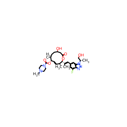 C/C(=C\c1cc(F)c2nnn([C@@H](C)CO)c2c1)[C@H]1OC(=O)C[C@H](O)CC[C@H](C)[C@@H](OC(=O)N2CCN(C)CC2)/C=C/[C@@H]1C